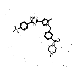 Cc1cc(-c2nc(-c3ccc([Si](C)(C)C)cc3)no2)cn1Cc1cccc(C(=O)N2CCN(C)CC2)c1